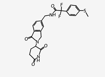 CSc1ccc(C(F)(F)C(=O)NCc2ccc3c(c2)CN(C2CCC(=O)NC2=O)C3=O)cc1